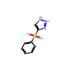 O=S(=O)(c1ccccc1)c1c[nH]nn1